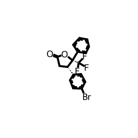 O=C1C[C@@H](c2ccc(Br)cc2)[C@@](c2ccccc2)(C(F)(F)F)O1